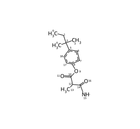 CCC(C)(C)c1ccc(OC(=O)C(C)C([NH])=O)cc1